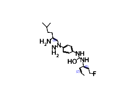 C/C=C\C(=C/CF)NC(O)Nc1ccc(N(N)/C=C(\N)CCC(C)C)cc1